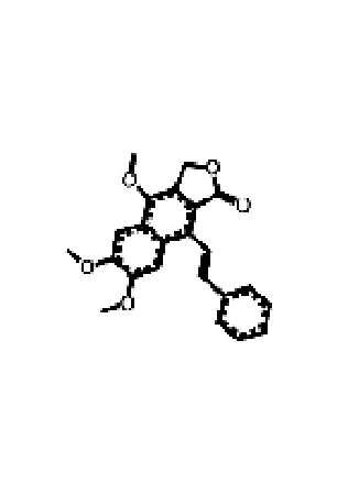 COc1cc2c(C=Cc3ccccc3)c3c(c(OC)c2cc1OC)COC3=O